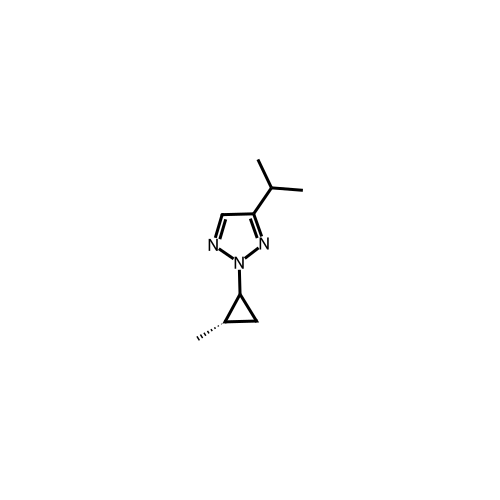 CC(C)c1cnn(C2C[C@@H]2C)n1